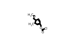 COCC1C=CC(COC(=O)Cl)=C[C@@H]1C